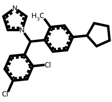 Cc1cc(C2CCCC2)ccc1C(c1ccc(Cl)cc1Cl)n1ccnc1